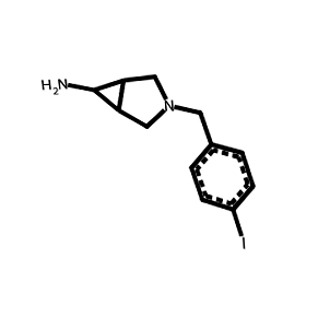 NC1C2CN(Cc3ccc(I)cc3)CC12